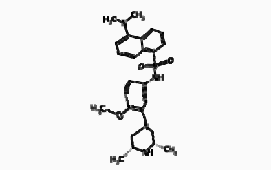 COc1ccc(NS(=O)(=O)c2cccc3c(N(C)C)cccc23)cc1N1C[C@@H](C)N[C@@H](C)C1